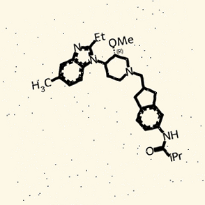 CCc1nc2cc(C)ccc2n1C1CCN(CC2Cc3ccc(NC(=O)C(C)C)cc3C2)C[C@H]1OC